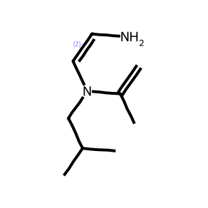 C=C(C)N(/C=C\N)CC(C)C